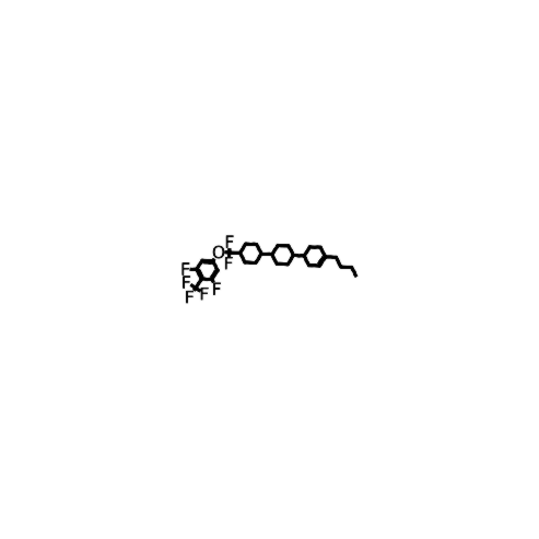 CCCCC1=CCC(C2CCC(C3CCC(C(F)(F)Oc4cc(F)c(C(F)(F)F)c(F)c4)CC3)CC2)CC1